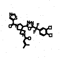 CC(C)=CC(=O)N1CC2(C1)CN(C(=O)c1cncs1)CC2c1nnc(C(F)(F)c2ccc(Cl)c(Cl)c2)o1